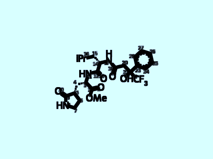 COC(=O)[C@H](C[C@@H]1CCNC1=O)NC(=O)[C@H](CC(C)C)NC(=O)CC(O)(c1ccccc1)C(F)(F)F